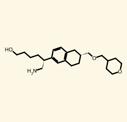 NC[C@H](CCCCO)c1ccc2c(c1)CC[C@@H](COCC1CCOCC1)C2